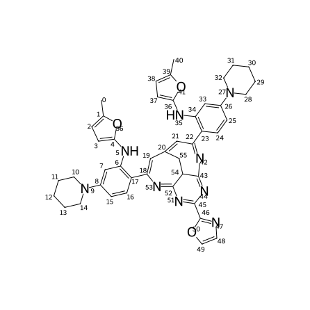 Cc1ccc(Nc2cc(N3CCCCC3)ccc2C2=CC3=CC(c4ccc(N5CCCCC5)cc4Nc4ccc(C)o4)=NC4=NC(c5ncco5)=NC(=N2)C4C3)o1